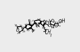 CSc1c(O[C@@H]2COC3[C@H](O)CO[C@@H]32)[nH]c2ccc(-c3c(F)cc(N4CCOCC4)cc3F)nc12